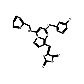 O=C1NC(=O)C(=Cc2cnn3c(NCc4ccccn4)cc(Nc4cccc(Cl)c4)nc23)N1